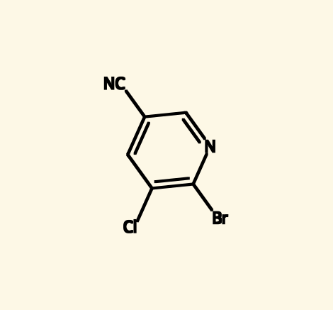 N#Cc1cnc(Br)c(Cl)c1